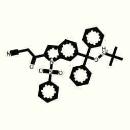 CC(C)(C)[SiH2]OC(c1ccccc1)(c1ccccc1)c1ccc2cc(C(=O)CC#N)n(S(=O)(=O)c3ccccc3)c2c1